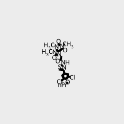 CCCOc1c(Cl)cc(-c2csc(NC(=O)Cn3c(=O)n(C)c4c3c(=O)n(C)c(=O)n4C)n2)cc1Cl